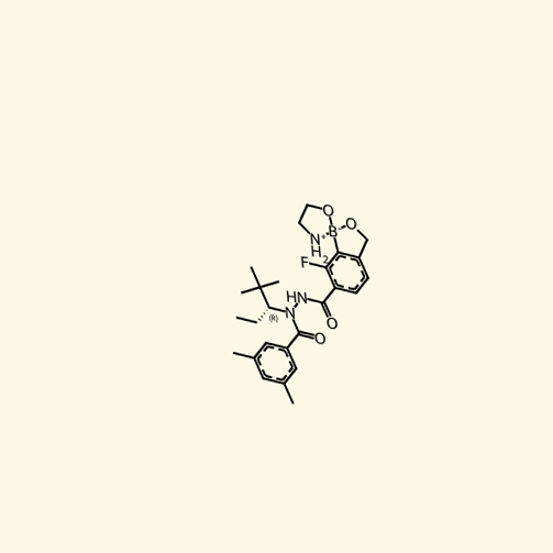 CC[C@@H](N(NC(=O)c1ccc2c(c1F)[B-]1([NH2+]CCO1)OC2)C(=O)c1cc(C)cc(C)c1)C(C)(C)C